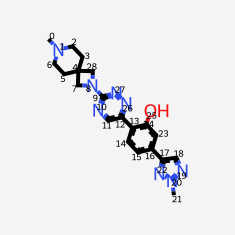 CN1CCC2(CC1)CN(c1ncc(-c3ccc(-c4cnn(C)n4)cc3O)nn1)C2